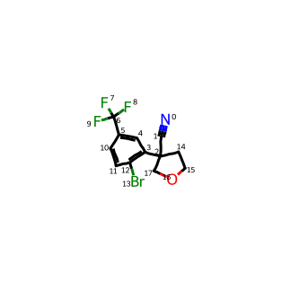 N#CC1(c2cc(C(F)(F)F)ccc2Br)CCOC1